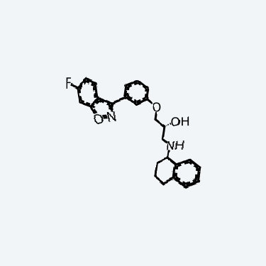 O[C@H](CNC1CCCc2ccccc21)COc1cccc(-c2noc3cc(F)ccc23)c1